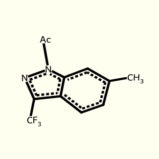 CC(=O)n1nc(C(F)(F)F)c2ccc(C)cc21